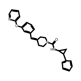 O=C(NC1CC1c1ccccc1)N1CCC(=Cc2cccc(Oc3ccccn3)c2)CC1